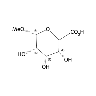 CO[C@@H]1OC(C(=O)O)[C@H](O)[C@H](O)[C@@H]1O